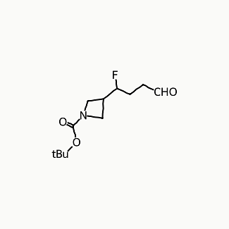 CC(C)(C)OC(=O)N1CC(C(F)CCC=O)C1